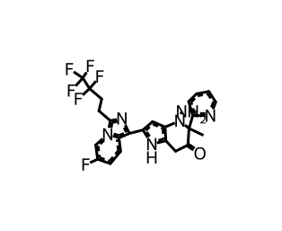 CC1(c2ccccn2)C(=O)Cc2[nH]c(-c3nc(CCC(F)(F)C(F)(F)F)n4cc(F)ccc34)cc2N1N